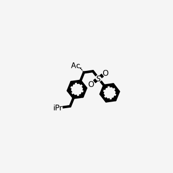 CC(=O)[C@H](CS(=O)(=O)c1ccccc1)c1ccc(CC(C)C)cc1